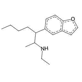 CCCCC(c1ccc2occc2c1)C(C)NCC